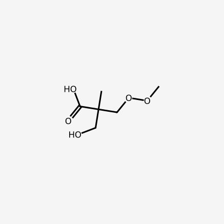 COOCC(C)(CO)C(=O)O